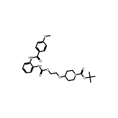 COc1ccc(C(=O)Nc2ccccc2NC(=O)OCCOC2CCN(C(=O)OC(C)(C)C)CC2)cc1